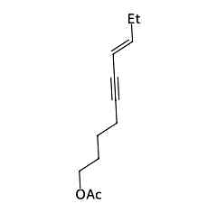 CCC=CC#CCCCCOC(C)=O